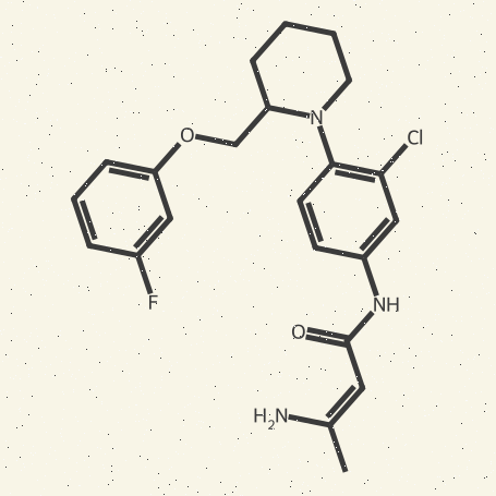 CC(N)=CC(=O)Nc1ccc(N2CCCCC2COc2cccc(F)c2)c(Cl)c1